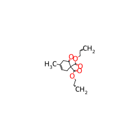 C=CCOC(=O)C1(C(=O)OCC=C)CC=C(C)CC1=O